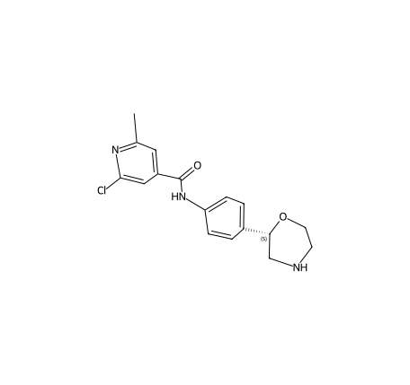 Cc1cc(C(=O)Nc2ccc([C@H]3CNCCO3)cc2)cc(Cl)n1